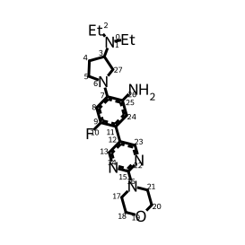 CCN(CC)C1CCN(c2cc(F)c(-c3cnc(N4CCOCC4)nc3)cc2N)C1